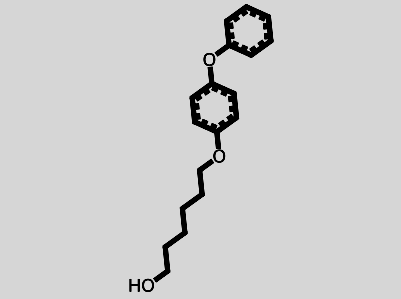 OCCCCCCOc1ccc(Oc2ccccc2)cc1